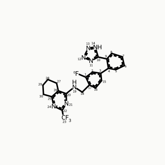 Fc1cc(-c2ccccc2-c2nnn[nH]2)ccc1CNc1nc(C(F)(F)F)nc2c1CCCC2